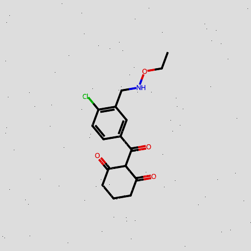 CCONCc1cc(C(=O)C2C(=O)CCCC2=O)ccc1Cl